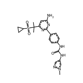 Cn1cc(NC(=O)Nc2ccc(-c3nc(N)cc(C(C)(C)S(=O)(=O)C4CC4)n3)cc2)cn1